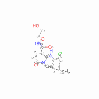 Bc1ccc(Nc2c(C(=O)NOCCO)ccc(=O)n2C)c(Cl)c1